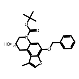 Cc1csc2c(OCc3ccccc3)cc3c(c12)C[C@H](O)CN3C(=O)OC(C)(C)C